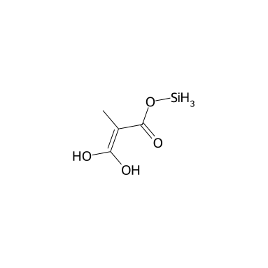 CC(C(=O)O[SiH3])=C(O)O